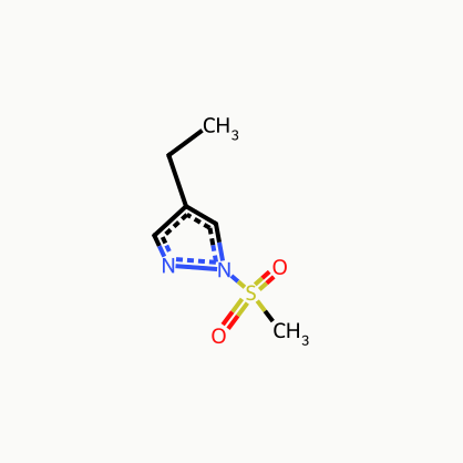 CCc1cnn(S(C)(=O)=O)c1